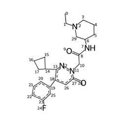 CCN1CCCC(NC(=O)Cn2nc(C3CCC3)c(-c3cccc(F)c3)cc2=O)C1